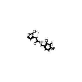 Cn1nccc1CC(=O)NCc1ccc(F)c(F)c1Cl